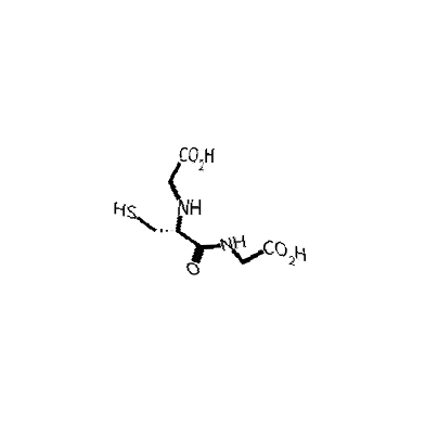 O=C(O)CNC(=O)[C@H](CS)NCC(=O)O